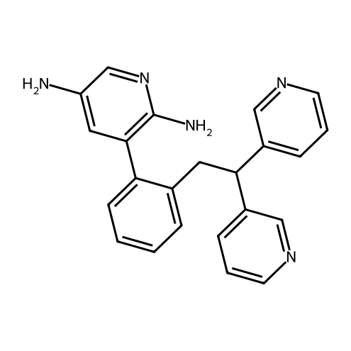 Nc1cnc(N)c(-c2ccccc2CC(c2cccnc2)c2cccnc2)c1